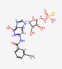 Cc1cccc(C(=O)Nc2nc(O)c3ncn([C@@H]4O[C@H](COP(=O)(O)S)[C@@H](O)[C@H]4O)c3n2)c1